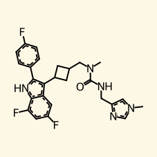 CN(CC1CC(c2c(-c3ccc(F)cc3)[nH]c3c(F)cc(F)cc23)C1)C(=O)NCc1cn(C)cn1